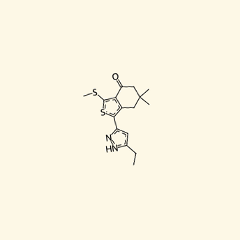 CCc1cc(-c2sc(SC)c3c2CC(C)(C)CC3=O)n[nH]1